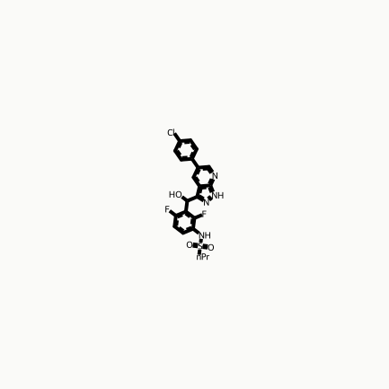 CCCS(=O)(=O)Nc1ccc(F)c(C(O)c2n[nH]c3ncc(-c4ccc(Cl)cc4)cc23)c1F